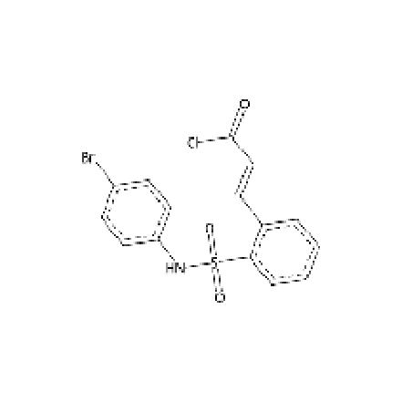 O=C(Cl)C=Cc1ccccc1S(=O)(=O)Nc1ccc(Br)cc1